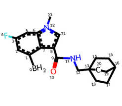 Bc1cc(F)cc2c1c(C(=O)NCC13CCC(CC1)CC3)cn2C